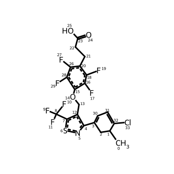 CC1CC(c2nsc(C(F)(F)F)c2COc2c(F)c(F)c(CCC(=O)O)c(F)c2F)=CC=C1Cl